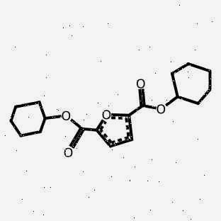 O=C(OC1CCCCC1)c1ccc(C(=O)OC2CCCCC2)o1